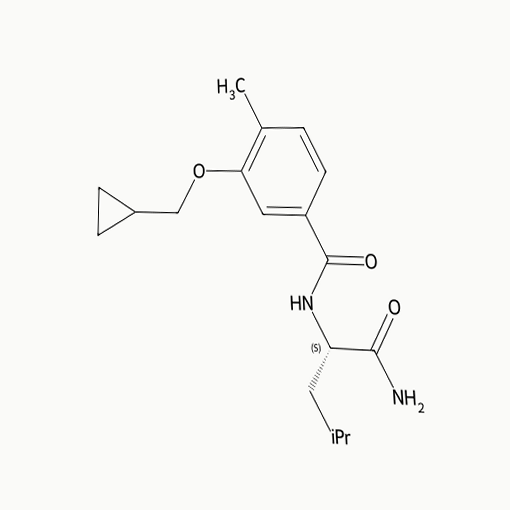 Cc1ccc(C(=O)N[C@@H](CC(C)C)C(N)=O)cc1OCC1CC1